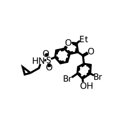 CCc1oc2cc(S(=O)(=O)NCC3CC3)ccc2c1C(=O)c1cc(Br)c(O)c(Br)c1